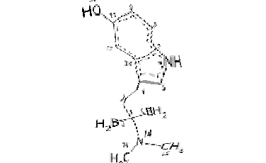 BC(B)(Cc1c[nH]c2ccc(O)cc12)N(C)C